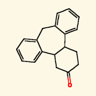 O=C1CCC2c3ccccc3Cc3ccccc3C2C1